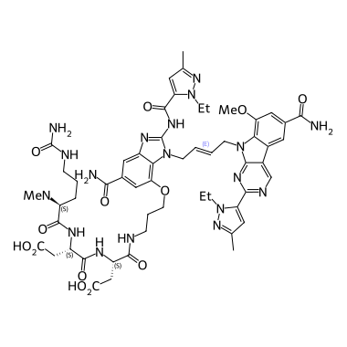 CCn1nc(C)cc1C(=O)Nc1nc2cc(C(N)=O)cc(OCCCNC(=O)[C@H](CC(=O)O)NC(=O)[C@H](CC(=O)O)NC(=O)[C@H](CCCNC(N)=O)NC)c2n1C/C=C/Cn1c2nc(-c3cc(C)nn3CC)ncc2c2cc(C(N)=O)cc(OC)c21